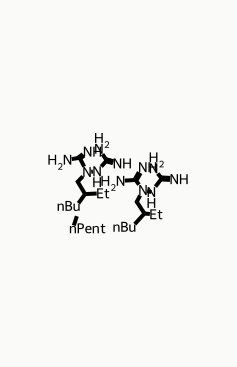 CCCCC(CC)CN(NC(=N)N)C(=N)N.CCCCC(CC)CN(NC(=N)N)C(=N)N.CCCCCC